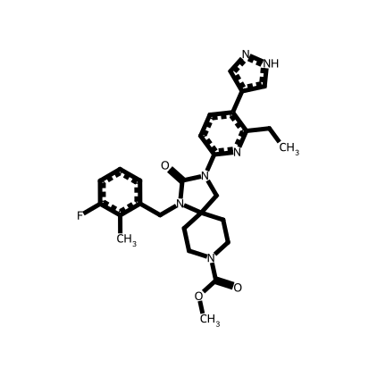 CCc1nc(N2CC3(CCN(C(=O)OC)CC3)N(Cc3cccc(F)c3C)C2=O)ccc1-c1cn[nH]c1